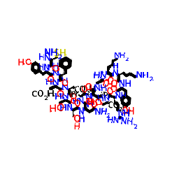 CC(C)CC(NC(=O)[C@@H](NC(=O)C(CC(N)=O)NC(=O)[C@H](CO)NC(=O)C(CO)NC(=O)[C@H](CC(=O)O)NC(=O)C(CC(=O)O)NC(=O)[C@H](Cc1ccccc1)NC(=O)C(Cc1ccc(O)cc1)NC(=O)[C@H](CS)NN)C(C)C)C(=O)NCC(=O)NC(CCCCN)C(=O)N[C@@H](CCCCN)C(=O)NC(Cc1ccc(O)cc1)C(=O)N[C@@H](CCCNC(=N)N)C(=O)NC(CO)C(=O)O